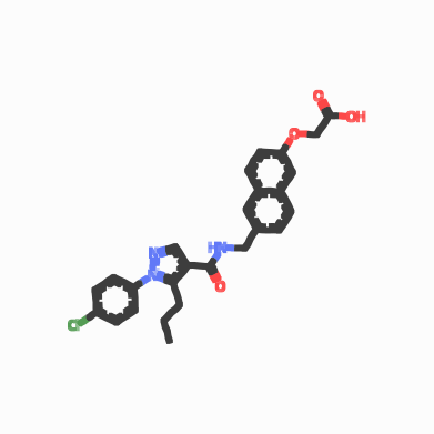 CCCc1c(C(=O)NCc2ccc3cc(OCC(=O)O)ccc3c2)cnn1-c1ccc(Cl)cc1